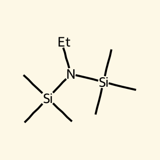 [CH2]CN([Si](C)(C)C)[Si](C)(C)C